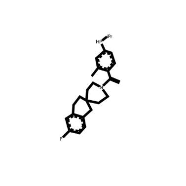 C=C(c1ccc(PC(C)C)cc1C)N1CCC2(CCc3cc(F)ccc3C2)CC1